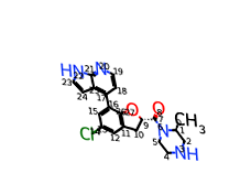 C[C@H]1CNCCN1C(=O)[C@@H]1Cc2cc(Cl)cc(-c3ccnc4[nH]ccc34)c2O1